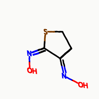 O/N=C1\CCS\C1=N\O